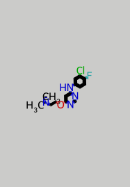 CN(C)CCOc1cc(Nc2ccc(F)c(Cl)c2)ncn1